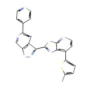 CC(=O)c1ccc(-c2ccnc3[nH]c(-c4n[nH]c5cnc(-c6ccncc6)cc45)nc23)s1